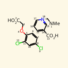 CNC.O=C(O)COc1ccc(Cl)cc1Cl.O=C(O)c1cccnc1